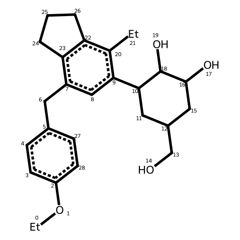 CCOc1ccc(Cc2cc(C3CC(CO)CC(O)C3O)c(CC)c3c2CCC3)cc1